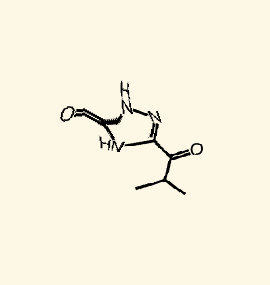 CC(C)C(=O)c1n[nH]c(=O)[nH]1